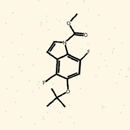 COC(=O)n1ccc2c(F)c(OC(C)(C)C)cc(F)c21